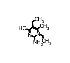 CCC1=C(C)N(CC)C(N)N=C1O